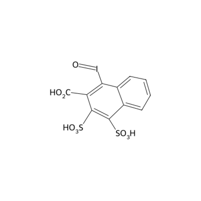 O=Ic1c(C(=O)O)c(S(=O)(=O)O)c(S(=O)(=O)O)c2ccccc12